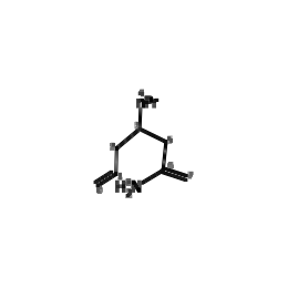 C=CCC(CCC)CC(=C)N